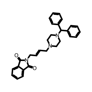 O=C1c2ccccc2C(=O)N1C/C=C/CN1CCN(C(c2ccccc2)c2ccccc2)CC1